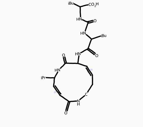 CCC(C)C(NC(=O)NC(C(=O)NC1/C=C\CCNC(=O)/C=C\C(C(C)C)NC1=O)C(C)CC)C(=O)O